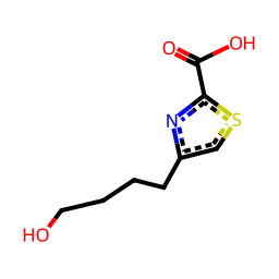 O=C(O)c1nc(CCCCO)cs1